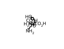 CC(=O)O.NCCCCC(N)C(=O)N[C@@H](Cc1ccc(O)cc1)C(=O)O